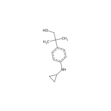 CC(C)(CO)c1ccc(NC2CC2)cc1